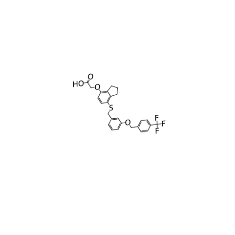 O=C(O)COc1ccc(SCc2cccc(OCc3ccc(C(F)(F)F)cc3)c2)c2c1CCC2